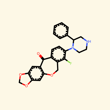 O=C1c2cc3c(cc2OCc2c1ccc(N1CCNCC1c1ccccc1)c2F)OCO3